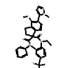 CCN1C(=O)C2(CCc3c2ccc(-c2ccnn2C)c3OC)C(=O)N(c2ccccc2)c2cc(C(F)(F)F)ccc21